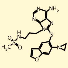 CS(=O)(=O)NCCCn1c(Sc2cc3ccoc3cc2N2CC2)nc2c(N)ncnc21